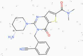 CN(C)C(=O)c1cc2nc(N3CCC[C@@H](N)C3)n(Cc3ccccc3C#N)c(=O)c2s1